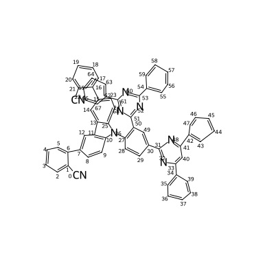 N#Cc1ccccc1-c1ccc2c(c1)c1cc(-c3ccccc3C#N)ccc1n2-c1ccc(-c2nc(-c3ccccc3)cc(-c3ccccc3)n2)cc1-c1nc(-c2ccccc2)nc(-c2ccccc2)n1